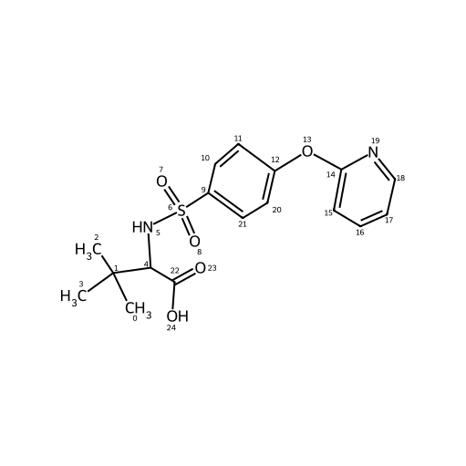 CC(C)(C)C(NS(=O)(=O)c1ccc(Oc2ccccn2)cc1)C(=O)O